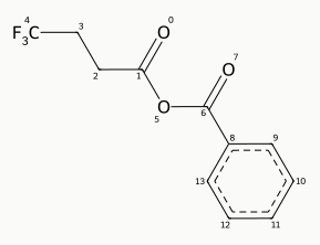 O=C(CCC(F)(F)F)OC(=O)c1ccccc1